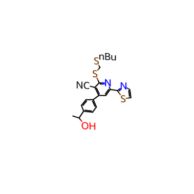 CCCCSCSc1nc(-c2nccs2)cc(-c2ccc(C(C)O)cc2)c1C#N